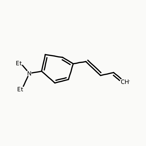 [CH]=CC=Cc1ccc(N(CC)CC)cc1